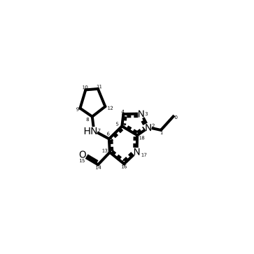 CCn1ncc2c(NC3CCCC3)c(C=O)cnc21